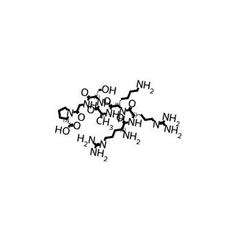 C[C@H](NC(=O)[C@H](CCCCN)NC(=O)[C@H](CCCN=C(N)N)NC(=O)[C@@H](N)CCCN=C(N)N)C(=O)N[C@@H](CO)C(=O)NCC(=O)N1CCC[C@H]1C(=O)O